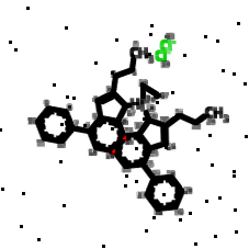 CCCC1=Cc2c(-c3ccccc3)cccc2[CH]1[Hf+2]1([CH]2C(CCC)=Cc3c(-c4ccccc4)cccc32)[CH2][CH2]1.[Cl-].[Cl-]